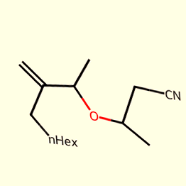 C=C(CCCCCCC)C(C)OC(C)CC#N